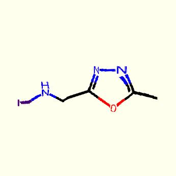 Cc1nnc(CNI)o1